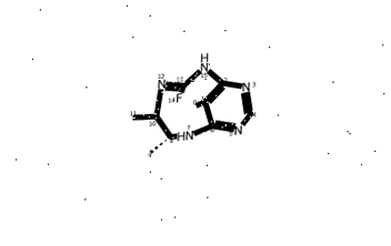 Cc1c2ncnc1N[C@H](C)C(C)/N=C(\F)N2